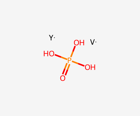 O=P(O)(O)O.[V].[Y]